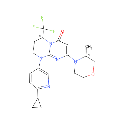 C[C@@H]1COCCN1c1cc(=O)n2c(n1)N(c1ccc(C3CC3)nc1)CC[C@@H]2C(F)(F)F